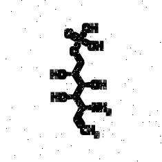 C=C[C@H](N)[C@@H](O)[C@H](O)[C@H](O)COP(=O)(O)O